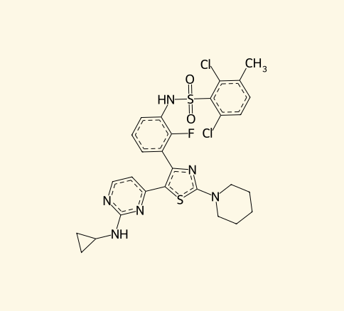 Cc1ccc(Cl)c(S(=O)(=O)Nc2cccc(-c3nc(N4CCCCC4)sc3-c3ccnc(NC4CC4)n3)c2F)c1Cl